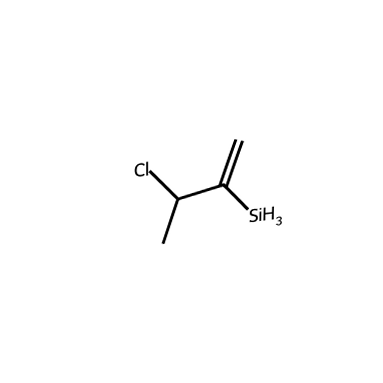 C=C([SiH3])C(C)Cl